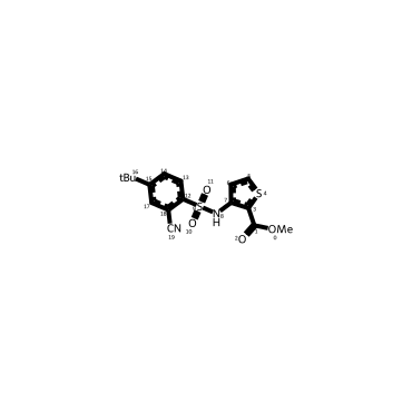 COC(=O)c1sccc1NS(=O)(=O)c1ccc(C(C)(C)C)cc1C#N